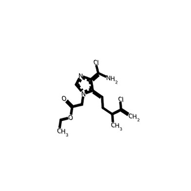 C=C(Cl)C(C)C/C=c1/c(=C(\N)Cl)ncn1CC(=O)OCC